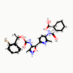 Cc1nc(-c2onc(C)c2NC(=O)O[C@H](C)c2ccccc2Br)ccc1NC(=O)[C@H]1CCCC[C@@H]1C(=O)O